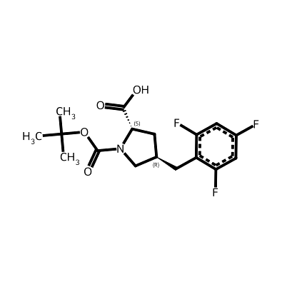 CC(C)(C)OC(=O)N1C[C@H](Cc2c(F)cc(F)cc2F)C[C@H]1C(=O)O